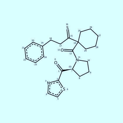 O=C(c1nccs1)[C@@H]1CCCN1C(=O)C1(C(=S)CCc2ccccc2)CCCCC1